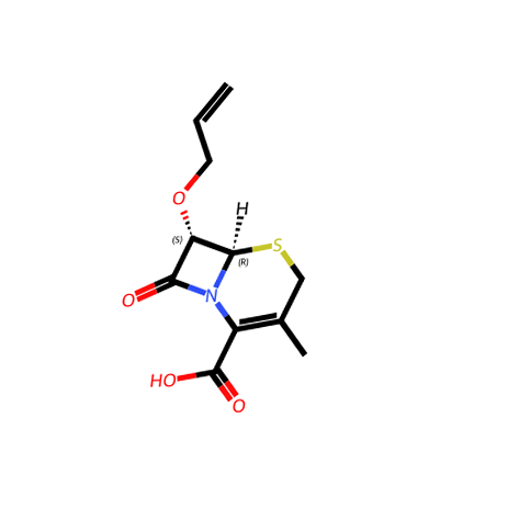 C=CCO[C@H]1C(=O)N2C(C(=O)O)=C(C)CS[C@H]12